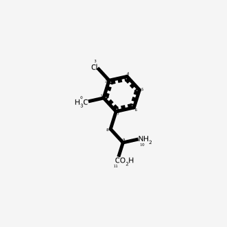 Cc1c(Cl)cccc1CC(N)C(=O)O